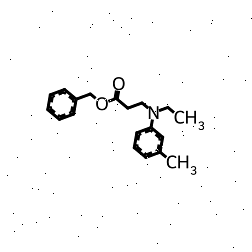 CCN(CCC(=O)OCc1ccccc1)c1cccc(C)c1